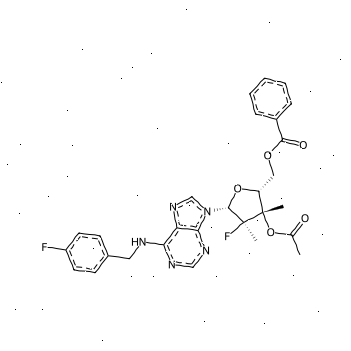 CC(=O)O[C@@]1(C)[C@@H](COC(=O)c2ccccc2)O[C@@H](n2cnc3c(NCc4ccc(F)cc4)ncnc32)[C@]1(C)F